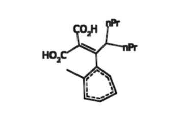 CCCC(CCC)C(=C(C(=O)O)C(=O)O)c1ccccc1C